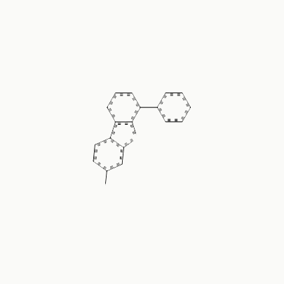 Clc1ccc2c(c1)oc1c(-c3ccccc3)cccc12